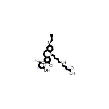 C#CCOc1ccc2c(c1)CCc1ccc(Cl)cc1N2CCCCNC/C=C/C(=O)O.O=C(O)/C=C\C(=O)O